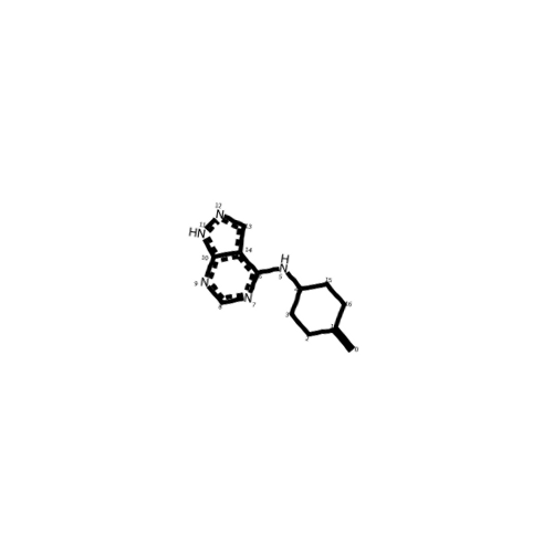 C=C1CCC(Nc2ncnc3[nH]ncc23)CC1